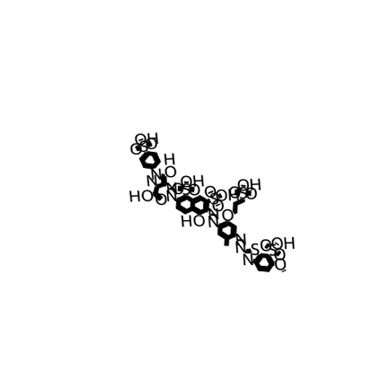 COc1ccc2nc(N=Nc3cc(OCCCS(=O)(=O)O)c(N=Nc4c(S(=O)(=O)O)cc5c(S(=O)(=O)O)c(N=Nc6c(C(=O)O)nn(-c7ccc(S(=O)(=O)O)cc7)c6O)ccc5c4O)cc3C)sc2c1S(=O)(=O)O